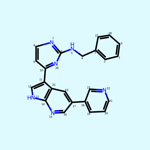 c1ccc(CNc2nccc(-c3c[nH]c4ncc(-c5cccnc5)cc34)n2)cc1